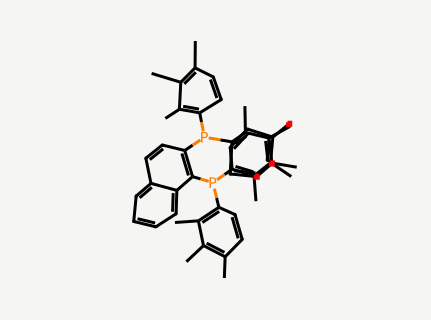 Cc1ccc(P(c2ccc(C)c(C)c2C)c2ccc3ccccc3c2P(c2ccc(C)c(C)c2C)c2ccc(C)c(C)c2C)c(C)c1C